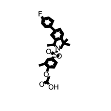 Cc1cc(S(=O)(=O)N2CC(C)(C)c3ccc(-c4ccc(F)cc4)cc3C2C)ccc1OCC(=O)O